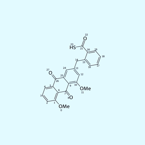 COc1cccc2c1C(=O)c1c(OC)cc(Cc3ccccc3C(=O)S)cc1C2=O